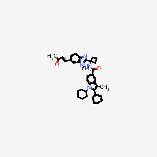 CC(=O)/C=C/c1ccc2nc(C3(NC(=O)c4ccc5c(c4)c(C)c(-c4ccccc4)n5C4CCCCC4)CCC3)n(C)c2c1